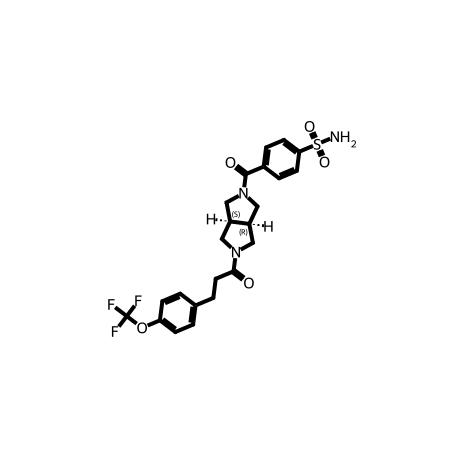 NS(=O)(=O)c1ccc(C(=O)N2C[C@H]3CN(C(=O)CCc4ccc(OC(F)(F)F)cc4)C[C@H]3C2)cc1